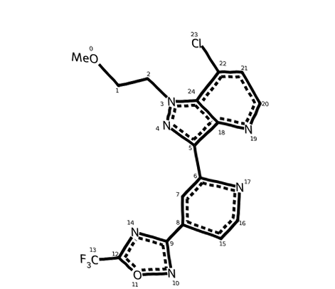 COCCn1nc(-c2cc(-c3noc(C(F)(F)F)n3)ccn2)c2nccc(Cl)c21